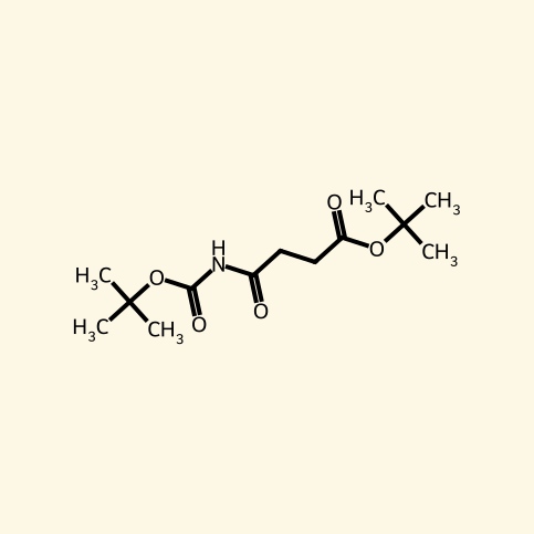 CC(C)(C)OC(=O)CCC(=O)NC(=O)OC(C)(C)C